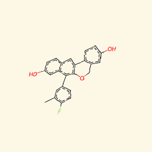 Cc1cc(-c2c3c(cc4ccc(O)cc24)-c2ccc(O)cc2CO3)ccc1F